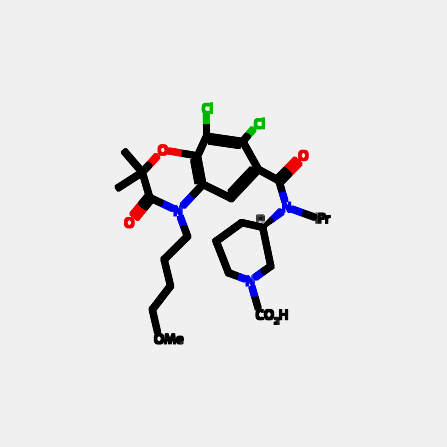 COCCCCN1C(=O)C(C)(C)Oc2c1cc(C(=O)N(C(C)C)[C@@H]1CCCN(C(=O)O)C1)c(Cl)c2Cl